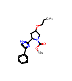 COCCOC1CC(c2nc(-c3ccccc3)c[nH]2)N(C(=O)OC(C)(C)C)C1